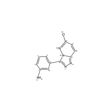 Nc1cccc(-c2nnc3ccc(Cl)nn23)c1